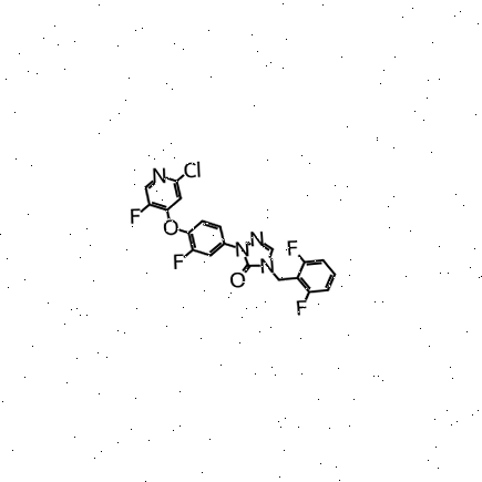 O=c1n(Cc2c(F)cccc2F)cnn1-c1ccc(Oc2cc(Cl)ncc2F)c(F)c1